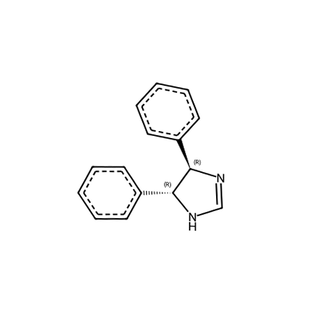 C1=N[C@H](c2ccccc2)[C@@H](c2ccccc2)N1